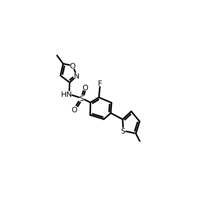 Cc1cc(NS(=O)(=O)c2ccc(-c3ccc(C)s3)cc2F)no1